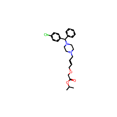 CC(C)OC(=O)COCC=CCN1CCN(C(c2ccccc2)c2ccc(Cl)cc2)CC1